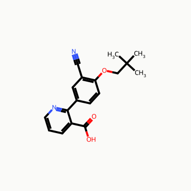 CC(C)(C)COc1ccc(-c2ncccc2C(=O)O)cc1C#N